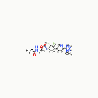 CC(=O)NC[C@H]1CN(c2ccc(-c3ccc(-c4nnnn4C)nc3)c(F)c2F)C(=O)O1